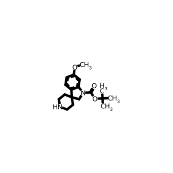 COc1ccc2c(c1)N(C(=O)OC(C)(C)C)CC21CCNCC1